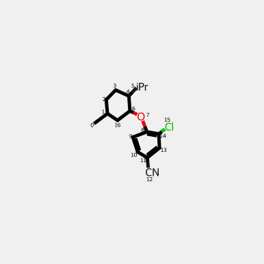 CC1CCC(C(C)C)C(Oc2ccc(C#N)cc2Cl)C1